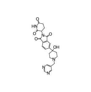 O=C1CCC(N2C(=O)c3ccc(C4(O)CCN(Cc5cncnc5)CC4)cc3C2=O)C(=O)N1